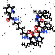 CC(C)[C@H](NC(=O)C1CCCN1C(=O)[C@@H](NC(=O)CCCCCNC(=O)c1ccccn1)C(C)C)C(=O)c1nnc(C(C)(C)C)o1